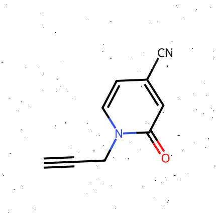 C#CCn1ccc(C#N)cc1=O